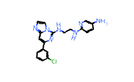 Nc1ccc(NCCNc2nc(-c3cccc(Cl)c3)cc3nccn23)nc1